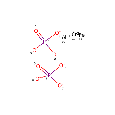 O=P([O-])([O-])[O-].O=P([O-])([O-])[O-].[Al+3].[Cr+3].[Fe]